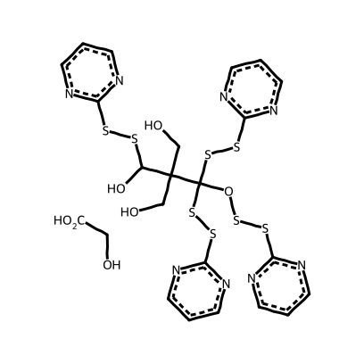 O=C(O)CO.OCC(CO)(C(O)SSc1ncccn1)C(OSSc1ncccn1)(SSc1ncccn1)SSc1ncccn1